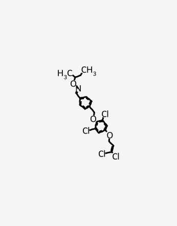 CCC(C)O/N=C/c1ccc(COc2c(Cl)cc(OCC=C(Cl)Cl)cc2Cl)cc1